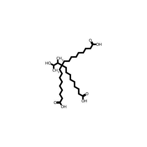 CC(O)C(C)C(CCCCCCCCC(=O)O)(CCCCCCCCC(=O)O)CCCCCCCCC(=O)O